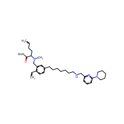 C=CCCC(C(=O)NC)N(C)Cc1cc(CCCCCCCNCc2cccc(N3CCCCC3)n2)ccc1C=C